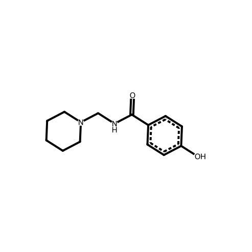 O=C(NCN1CCCCC1)c1ccc(O)cc1